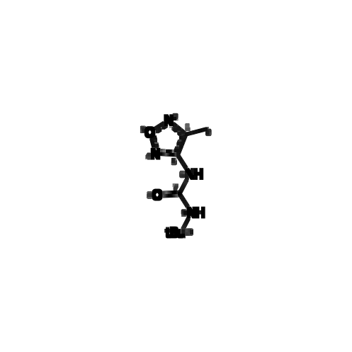 Cc1nonc1NC(=O)NC(C)(C)C